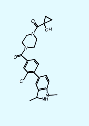 CC1NN(C)c2ccc(-c3ccc(C(=O)N4CCN(C(=O)C5(O)CC5)CC4)cc3Cl)cc21